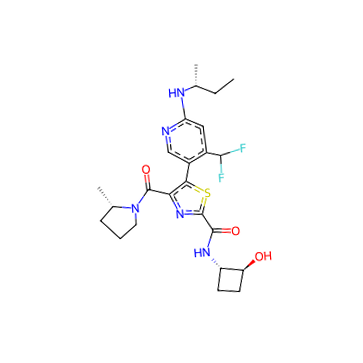 CC[C@@H](C)Nc1cc(C(F)F)c(-c2sc(C(=O)N[C@H]3CC[C@@H]3O)nc2C(=O)N2CCC[C@@H]2C)cn1